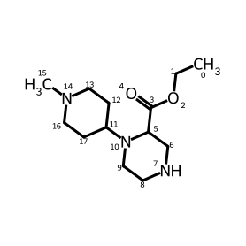 CCOC(=O)C1CNCCN1C1CCN(C)CC1